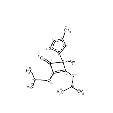 Cc1csc(C2(O)C(=O)C(OC(C)C)=C2OC(C)C)c1